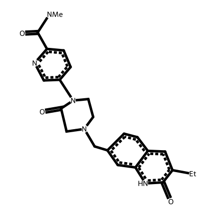 CCc1cc2ccc(CN3CCN(c4ccc(C(=O)NC)nc4)C(=O)C3)cc2[nH]c1=O